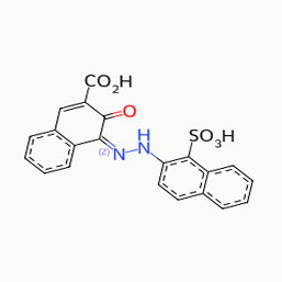 O=C(O)C1=Cc2ccccc2/C(=N/Nc2ccc3ccccc3c2S(=O)(=O)O)C1=O